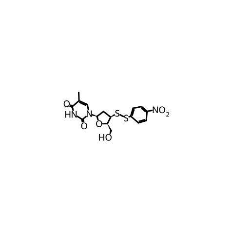 Cc1cn([C@H]2C[C@@H](SSc3ccc([N+](=O)[O-])cc3)[C@@H](CO)O2)c(=O)[nH]c1=O